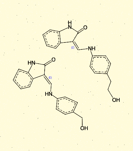 O=C1Nc2ccccc2/C1=C/Nc1ccc(CCO)cc1.O=C1Nc2ccccc2/C1=C\Nc1ccc(CO)cc1